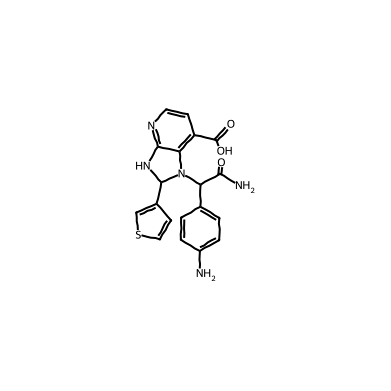 NC(=O)C(c1ccc(N)cc1)N1c2c(C(=O)O)ccnc2NC1c1ccsc1